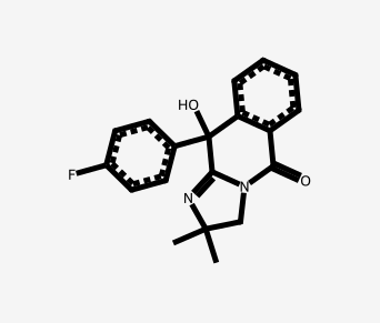 CC1(C)CN2C(=O)c3ccccc3C(O)(c3ccc(F)cc3)C2=N1